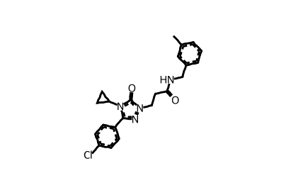 Cc1cccc(CNC(=O)CCn2nc(-c3ccc(Cl)cc3)n(C3CC3)c2=O)c1